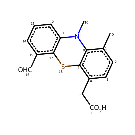 Cc1ccc(CC(=O)O)c2c1N(C)c1cccc(C=O)c1S2